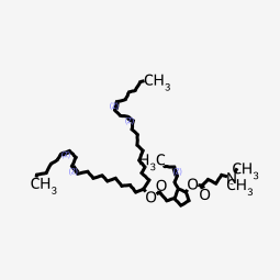 CC/C=C\CC1C(CC(=O)OC(CCCCCCCC/C=C\C/C=C\CCCCC)CCCCCCCC/C=C\C/C=C\CCCCC)CCC1OC(=O)CCCN(C)C